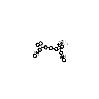 C=Cc1cccc(N(c2ccc(-c3ccc(-c4ccc(N(C5=CCCc6ccccc65)c5ccc(-n6nc7ccccc7n6)cc5)cc4)cc3)cc2)c2ccc(-n3nc4ccccc4n3)cc2)c1/C=C\C